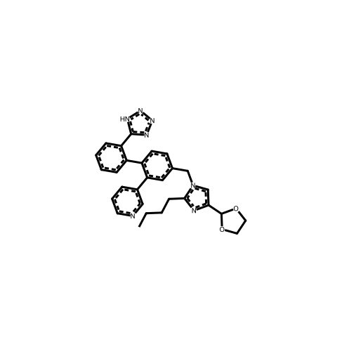 CCCCc1nc(C2OCCO2)cn1Cc1ccc(-c2ccccc2-c2nnn[nH]2)c(-c2cccnc2)c1